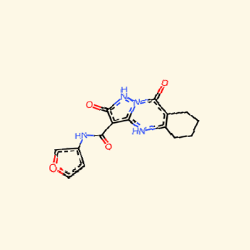 O=C(Nc1ccoc1)c1c(=O)[nH]n2c(=O)c3c([nH]c12)CCCC3